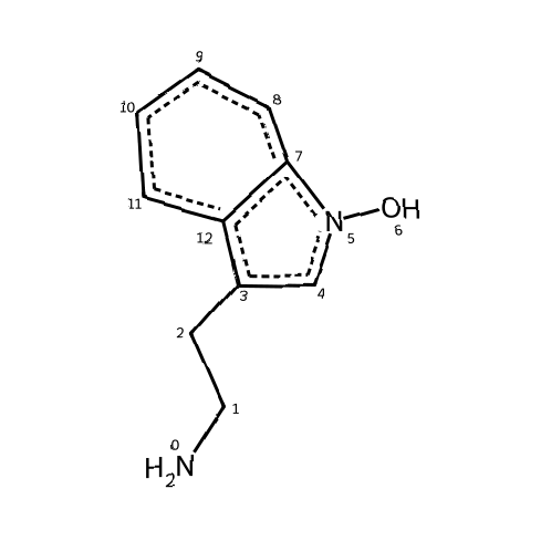 NCCc1cn(O)c2ccccc12